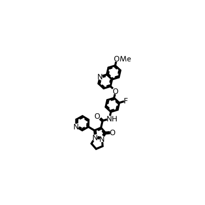 COc1ccc2c(Oc3ccc(NC(=O)c4c(-c5cccnc5)n5n(c4=O)CCC5)cc3F)ccnc2c1